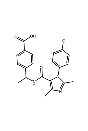 Cc1nc(C)n(-c2ccc(Cl)cc2)c1C(=O)NC(C)c1ccc(C(=O)O)cc1